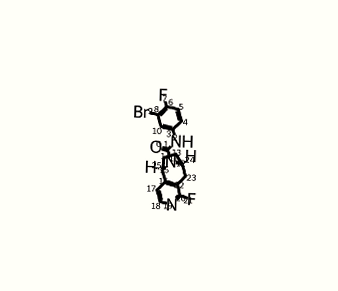 O=C(Nc1ccc(F)c(Br)c1)N1[C@H]2CC[C@@H]1c1ccnc(F)c1C2